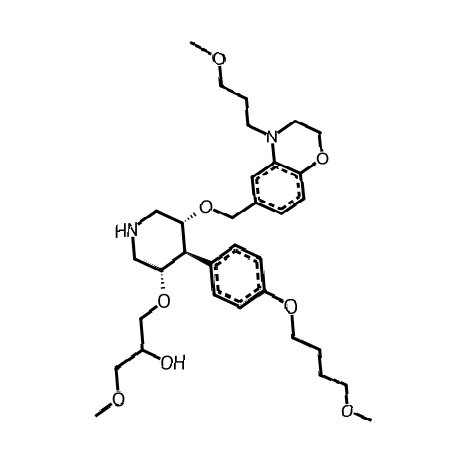 COCCCCOc1ccc([C@@H]2[C@@H](OCc3ccc4c(c3)N(CCCOC)CCO4)CNC[C@H]2OCC(O)COC)cc1